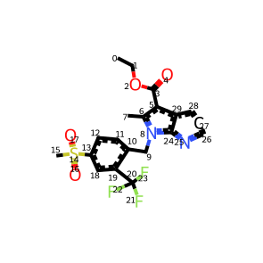 CCOC(=O)c1c(C)n(Cc2ccc(S(C)(=O)=O)cc2C(F)(F)F)c2ncccc12